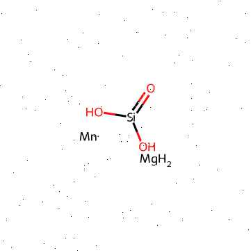 O=[Si](O)O.[MgH2].[Mn]